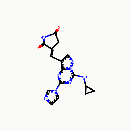 O=C1C/C(=C\c2cnn3c(NC4CC4)nc(-n4ccnc4)nc23)C(=O)N1